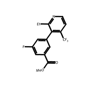 CCc1nccc(C(F)(F)F)c1-c1cc(F)cc(C(=O)OC)c1